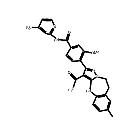 COc1cc(C(=O)Nc2cc(C(F)(F)F)ccn2)ccc1-c1nn2c(c1C(N)=O)Nc1ccc(C)cc1CC2